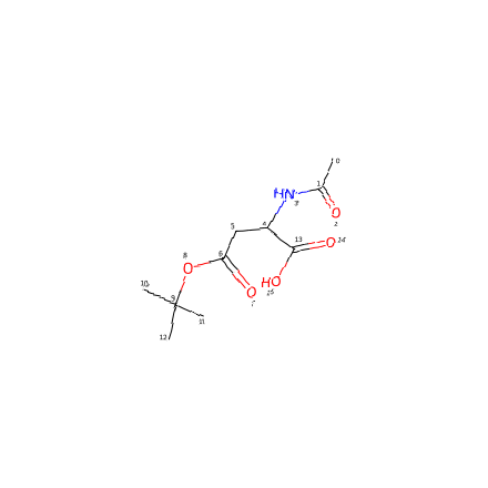 CC(=O)NC(CC(=O)OC(C)(C)C)C(=O)O